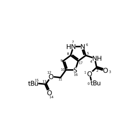 CC(C)(C)OC(=O)Nc1n[nH]c2cc(COC(=O)C(C)(C)C)sc12